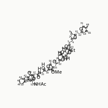 C=C1C[C@H](CC[C@]23C[C@@H]4C5O[C@](CC)(C2)[C@H](O3)C5O[C@H]2CC[C@H](CC(=O)C[C@@H]3[C@@H](OC)[C@@H](C[C@H](O)CNC(=O)CNC(=O)[C@H](Cc5ccccc5)NC(=O)CNC(C)=O)O[C@H]3C)O[C@@H]24)O[C@H]1CC[C@H]1C[C@@H](C)C(=C)[C@@H](C)O1